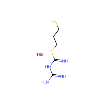 Br.N=C(N)NC(=N)SCCCS